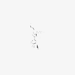 C/C=C\C=C/Cn1nc(-c2cnc(N(C)C)c(/C=C/CC)c2)c(C)c1NC